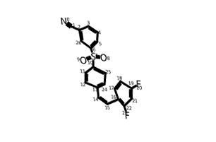 N#Cc1cccc(S(=O)(=O)c2ccc(/C=C\c3ccc(F)cc3F)cc2)c1